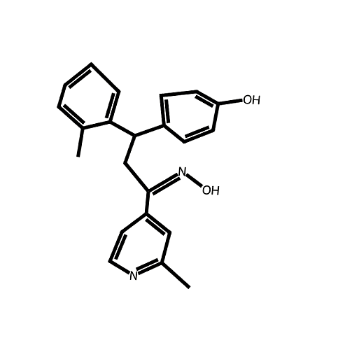 Cc1cc(C(CC(c2ccc(O)cc2)c2ccccc2C)=NO)ccn1